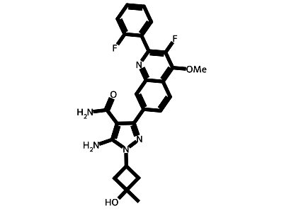 COc1c(F)c(-c2ccccc2F)nc2cc(-c3nn(C4CC(C)(O)C4)c(N)c3C(N)=O)ccc12